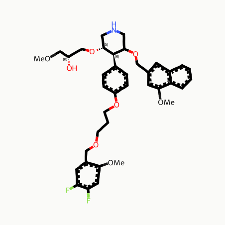 COC[C@@H](O)CO[C@@H]1CNCC(OCc2cc(OC)c3ccccc3c2)[C@H]1c1ccc(OCCCOCc2cc(F)c(F)cc2OC)cc1